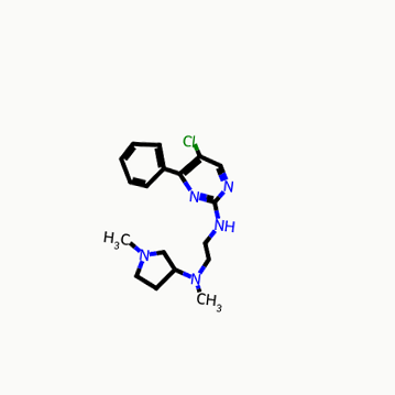 CN1CCC(N(C)CCNc2ncc(Cl)c(-c3ccccc3)n2)C1